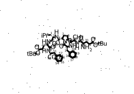 CC(C)C[C@H](NC(=O)[C@@H]1CCCN1C(=O)[C@H](Cc1ccccc1)NC(=O)[C@H](C)NC(=O)[C@@H](N)CCC(=O)OC(C)(C)C)C(=O)N[C@@H](CCC(=O)OC(C)(C)C)C(=O)N[C@@H](Cc1ccccc1)C(=O)O